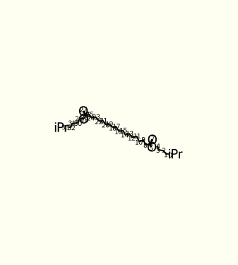 CC(C)CCCCOC(=O)CCCCCCCCCCCCCCCCCCC(=O)OCCCCC(C)C